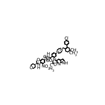 C[C@@H]1CN(c2cc(N3CCN(CC4=C(c5ccc(Cl)cc5)CC(C)(C)CC4)CC3)ccc2C(=O)NS(=O)(=O)c2cc3c(c([N+](=O)[O-])c2)N[C@H](C2CCOCC2)CO3)c2cc3cc[nH]c3nc2O1